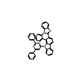 c1ccc(-c2cc(-n3c4ccccc4c4ccc5c(c6ccccc6n6c7ccccc7nc56)c43)nc(-c3ccccc3)n2)cc1